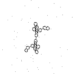 c1ccc2cc(-c3ccc(N(c4ccc(-c5ccc(N(c6ccc(-c7ccc8ccccc8c7)cc6)c6cccc7c6oc6ccccc67)cc5)cc4)c4cccc5c4oc4ccccc45)cc3)ccc2c1